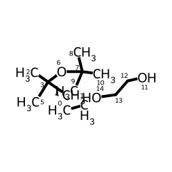 CC.CC(C)(C)OC(C)(C)C.OCCO